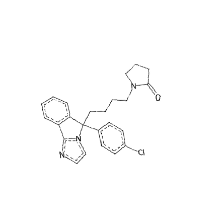 O=C1CCCN1CCCCC1(c2ccc(Cl)cc2)c2ccccc2-c2nccn21